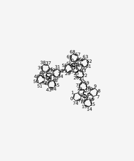 c1ccc([Si](c2ccccc2)(c2ccccc2)c2ccc(-c3ccc4c(c3)-c3cc(-c5ccc([Si](c6ccccc6)(c6ccccc6)c6ccccc6)cc5)ccc3[Si]4(c3ccccc3)c3ccccc3)cc2)cc1